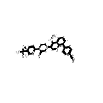 COc1c(N2CCN(c3ccc(C(C)(C)C)cn3)C(=O)C2)cnc2c(-c3ccc(C#N)cc3)cccc12